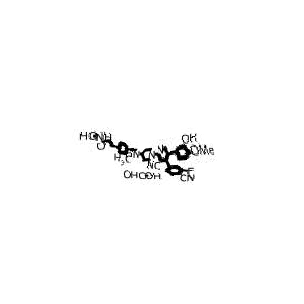 COc1ccc(-c2cnc(N3CCC(NCc4ccc(/C=C/C(=O)NO)cc4C)CC3)c(C#N)c2-c2ccc(C#N)c(F)c2)cc1O.O=CO